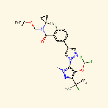 CCOC(=O)OCN(C(=O)c1cc(-c2cnn(-c3c(OC(F)F)c(C(F)(C(F)(F)F)C(F)(F)F)nn3C)c2)ccc1Cl)C1(C#N)CC1